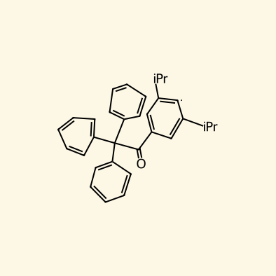 CC(C)c1[c]c(C(C)C)cc(C(=O)C(c2ccccc2)(c2ccccc2)c2ccccc2)c1